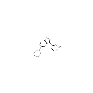 C=C/C(=C\N(C)N)c1c[nH]c2ncc(C3CCCCC3)cc12